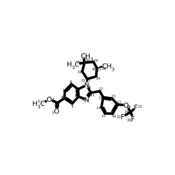 COC(=O)c1ccc2c(c1)nc(Cc1cccc(OC(F)(F)F)c1)n2[C@@H]1C[C@H](C)CC(C)(C)C1